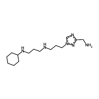 NCc1ncn(CCCNCCCNC2CCCCC2)n1